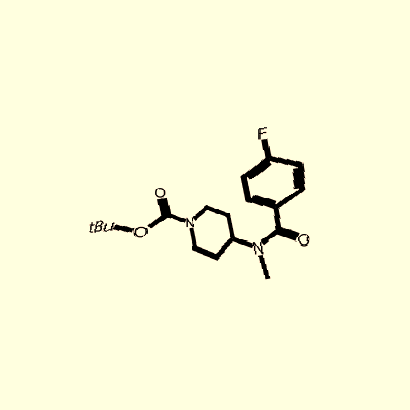 CN(C(=O)c1ccc(F)cc1)C1CCN(C(=O)OC(C)(C)C)CC1